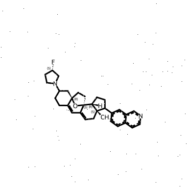 C[C@@]12CC=C3C=C4CCC(N5CC[C@H](F)C5)C[C@]45CC[C@]3(O5)[C@@H]1CCC2c1ccc2ccncc2c1